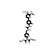 CCNc1nc(-c2ccc(NC(=O)NCc3ccc(N(C(=O)OC(C)(C)C)C(=O)OC(C)(C)C)nc3)c(F)c2)ccc1C(=O)O